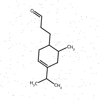 CC(C)C1=CCC(CCC=O)C(C)C1